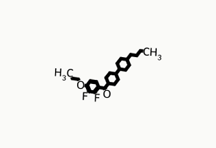 CCCCC1CCC(C2CCC(C(=O)c3ccc(OCCC)c(F)c3F)CC2)CC1